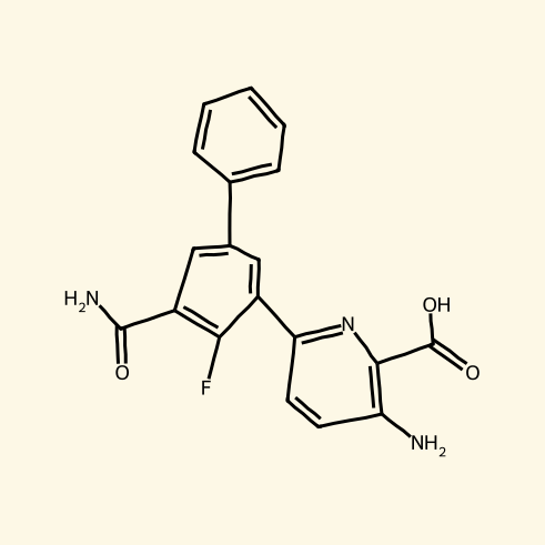 NC(=O)c1cc(-c2ccccc2)cc(-c2ccc(N)c(C(=O)O)n2)c1F